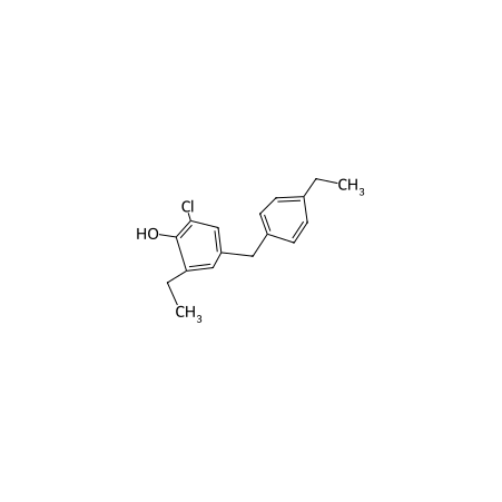 CCc1ccc(Cc2cc(Cl)c(O)c(CC)c2)cc1